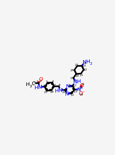 CC(=O)Nc1ccc(CNc2ncc([N+](=O)[O-])c(NCC3CCC(N)CC3)n2)cc1